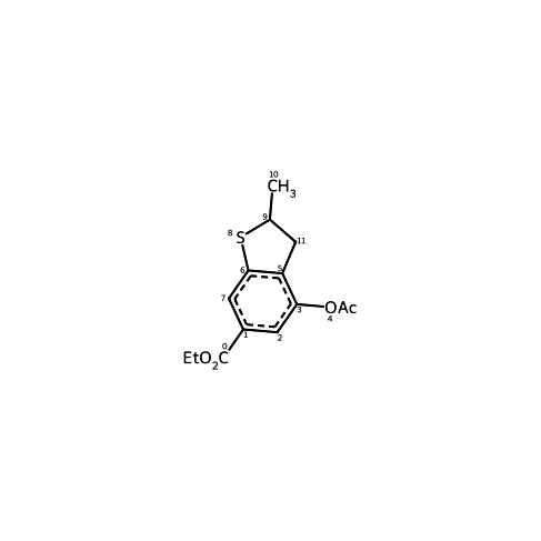 CCOC(=O)c1cc(OC(C)=O)c2c(c1)SC(C)C2